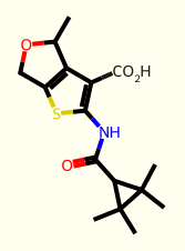 CC1OCc2sc(NC(=O)C3C(C)(C)C3(C)C)c(C(=O)O)c21